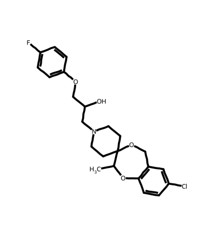 CC1Oc2ccc(Cl)cc2COC12CCN(CC(O)COc1ccc(F)cc1)CC2